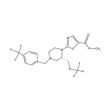 COC(=O)c1cnc(N2CCN(Cc3ccc(C(F)(F)F)cc3)C[C@H]2COC(F)(F)F)s1